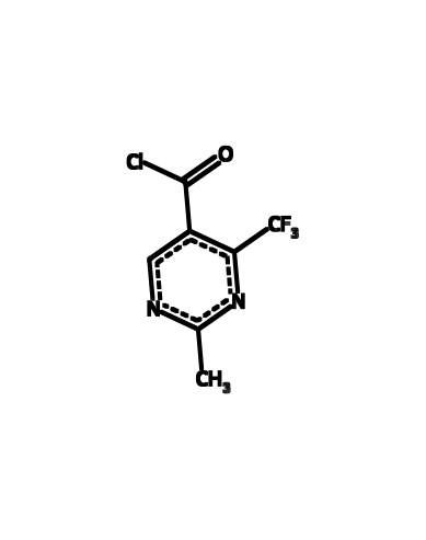 Cc1ncc(C(=O)Cl)c(C(F)(F)F)n1